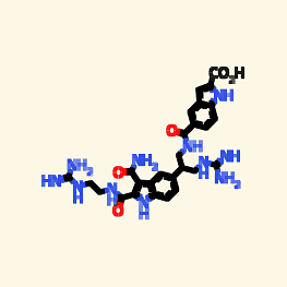 N=C(N)NCCNC(=O)c1[nH]c2ccc(C(CNC(=N)N)CNC(=O)c3ccc4[nH]c(C(=O)O)cc4c3)cc2c1C(N)=O